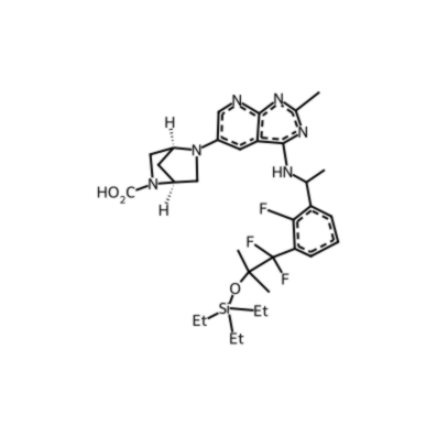 CC[Si](CC)(CC)OC(C)(C)C(F)(F)c1cccc(C(C)Nc2nc(C)nc3ncc(N4C[C@@H]5C[C@H]4CN5C(=O)O)cc23)c1F